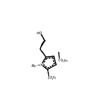 CCOC(=O)c1ccc(CCO)n1[C@@H](C)CC.CCOC(C)=O